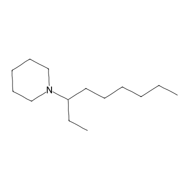 CCCCCCC(CC)N1CCCCC1